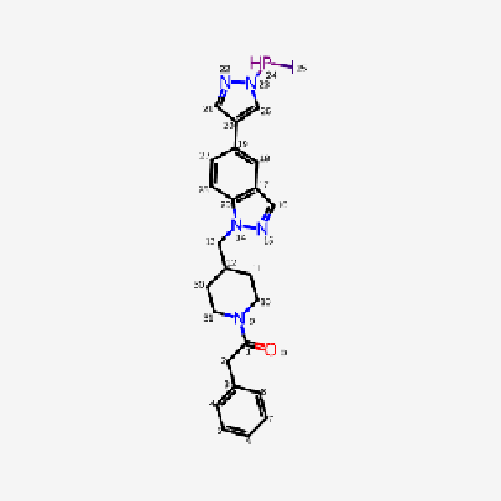 O=C(Cc1ccccc1)N1CCC(Cn2ncc3cc(-c4cnn(PI)c4)ccc32)CC1